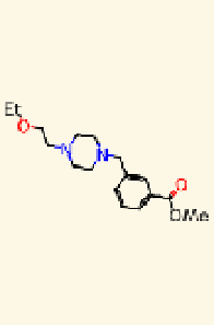 CCOCCN1CCN(Cc2cccc(C(=O)OC)c2)CC1